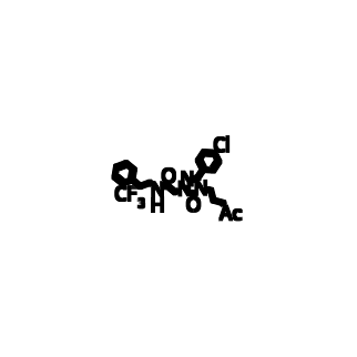 CC(=O)CCCn1c(-c2ccc(Cl)cc2)nn(CC(=O)NCCc2ccccc2C(F)(F)F)c1=O